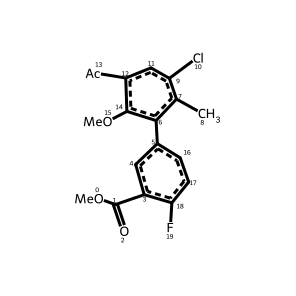 COC(=O)c1cc(-c2c(C)c(Cl)cc(C(C)=O)c2OC)ccc1F